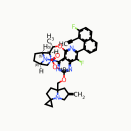 C#Cc1c(F)ccc2cccc(-c3nc4c5c(nc(OCC67CCC8(CC8)N6CC(=C)C7)nc5c3F)N3C[C@H]5CC[C@@H]([C@H]3[C@H](C)O4)N5C(=O)OC(C)(C)C)c12